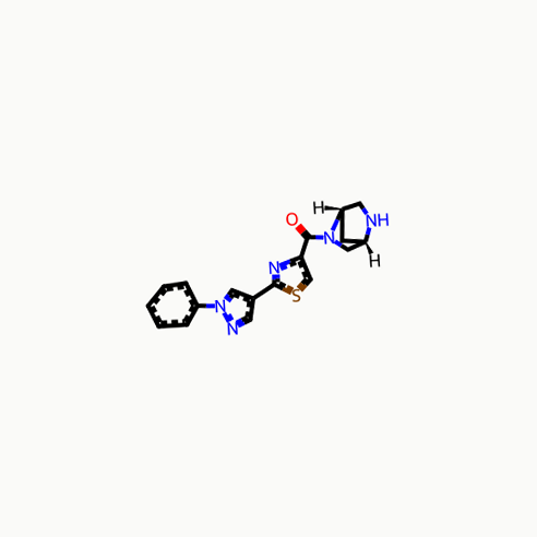 O=C(c1csc(-c2cnn(-c3ccccc3)c2)n1)N1C[C@@H]2C[C@H]1CN2